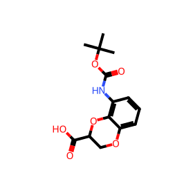 CC(C)(C)OC(=O)Nc1cccc2c1OC(C(=O)O)CO2